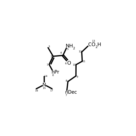 CCCC=C(C)C(N)=O.CCCCCCCCCCCCCCCC(=O)O.CN(C)C